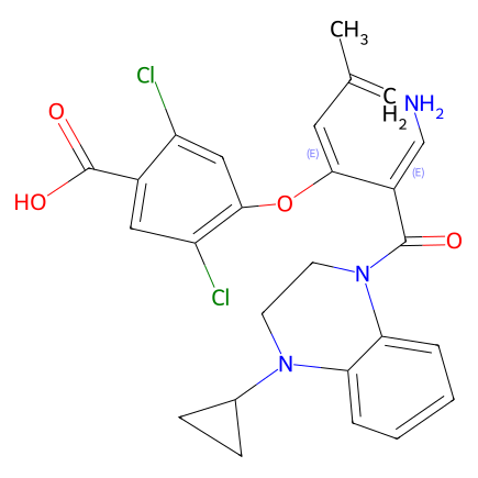 C=C(C)/C=C(Oc1cc(Cl)c(C(=O)O)cc1Cl)\C(=C/N)C(=O)N1CCN(C2CC2)c2ccccc21